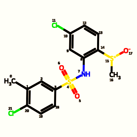 Cc1cc(S(=O)(=O)Nc2cc(Cl)ccc2[S+](C)[O-])ccc1Cl